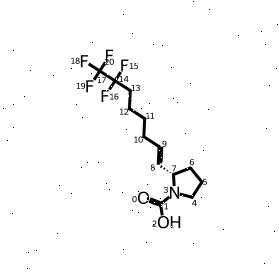 O=C(O)N1CCC[C@H]1/C=C/CCCCC(F)(F)C(F)(F)F